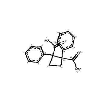 O=C(O)C1(c2ccccc2)CCC1(C(=O)O)c1ccccc1